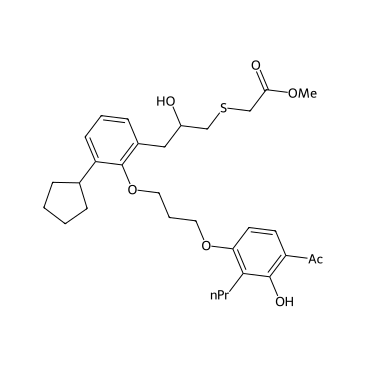 CCCc1c(OCCCOc2c(CC(O)CSCC(=O)OC)cccc2C2CCCC2)ccc(C(C)=O)c1O